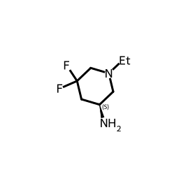 CCN1C[C@@H](N)CC(F)(F)C1